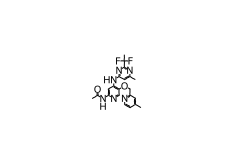 CC(=O)Nc1cc(Nc2cc(C)nc(C(C)(F)F)n2)c(OCc2cc(C)ccn2)cn1